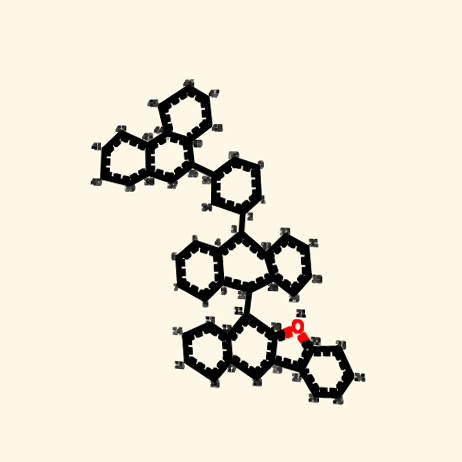 c1cc(-c2c3ccccc3c(-c3c4ccccc4cc4c3oc3ccccc34)c3ccccc23)cc(-c2cc3ccccc3c3ccccc23)c1